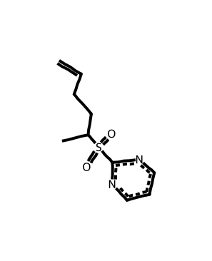 C=CCCC(C)S(=O)(=O)c1ncccn1